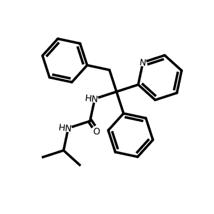 CC(C)NC(=O)NC(Cc1ccccc1)(c1ccccc1)c1ccccn1